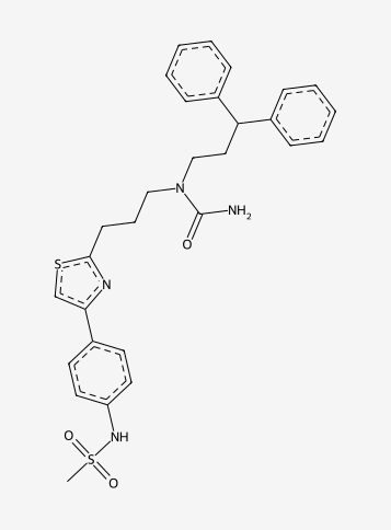 CS(=O)(=O)Nc1ccc(-c2csc(CCCN(CCC(c3ccccc3)c3ccccc3)C(N)=O)n2)cc1